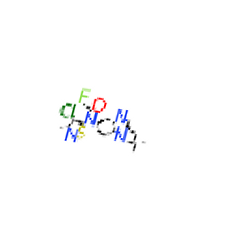 Cc1nsc(N(C(=O)CF)c2ccc3nc(CC(C)(C)C)cnc3c2)c1Cl